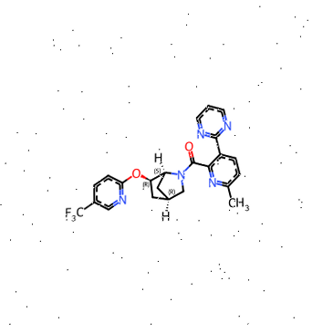 Cc1ccc(-c2ncccn2)c(C(=O)N2C[C@H]3C[C@@H](Oc4ccc(C(F)(F)F)cn4)[C@@H]2C3)n1